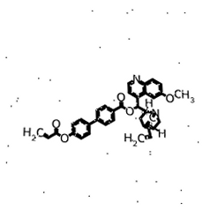 C=CC(=O)Oc1ccc(-c2ccc(C(=O)OC(c3ccnc4ccc(OC)cc34)[C@@H]3CC4CCN3C[C@@H]4C=C)cc2)cc1